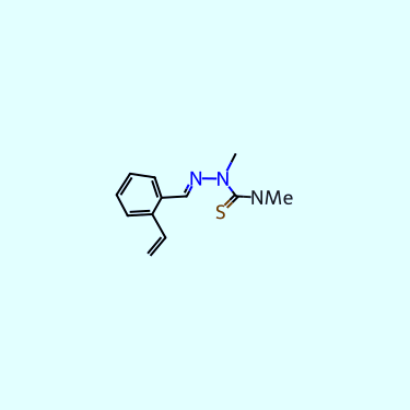 C=Cc1ccccc1C=NN(C)C(=S)NC